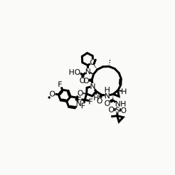 CC[C@@H]1C[C@H](C)CC/C=C\[C@@H]2C[C@@]2(C(=O)NS(=O)(=O)C2(C)CC2)NC(=O)[C@@H]2C[C@](Oc3nccc4cc(OC)c(F)cc34)(C(F)(F)F)CN2C(=O)[C@H]1N(C(=O)O)C1CCCCO1